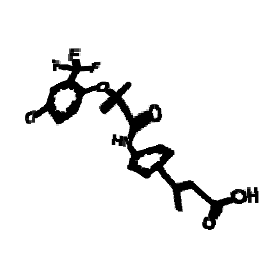 CC(CC(=O)O)c1ccc(NC(=O)C(C)(C)Oc2ccc(Cl)cc2C(F)(F)F)cc1